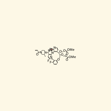 C=CC(=O)N1CCN(c2nc(=O)n3c4nc(c(F)cc24)-c2c(F)cccc2OCC(OCOC(=O)OC)C(OCOC(=O)OC)c2ccnc(C(C)C)c2-3)[C@@H](C)C1